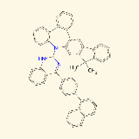 CC1(C)c2ccccc2-c2cc3c(cc21)N(C1N=C(c2ccc(-c4cccc5ccccc45)cc2)c2ccccc2N1)c1ccccc1-c1ccccc1-3